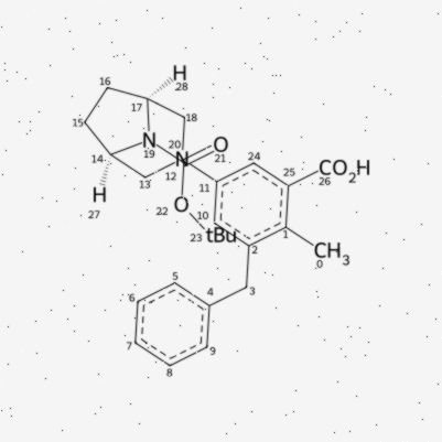 Cc1c(Cc2ccccc2)cc(N2C[C@H]3CC[C@@H](C2)N3C(=O)OC(C)(C)C)cc1C(=O)O